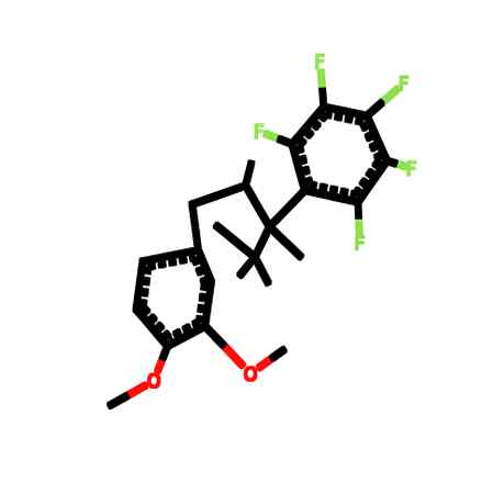 COc1ccc(CC(C)C(C)(c2c(F)c(F)c(F)c(F)c2F)C(C)(C)C)cc1OC